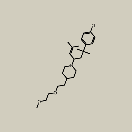 COCCOCCC1CCN(C(C=C(C)C)CC(C)(C)c2ccc(Cl)cc2)CC1